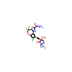 CN1CC[C@@](O)(C#Cc2cc3c(cc2F)OCC(F)(F)c2sc(C(N)=O)nc2-3)C1=O